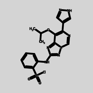 CC(C)Oc1c(-c2cn[nH]c2)ncn2nc(Nc3ccccc3S(=O)(=O)Cl)nc12